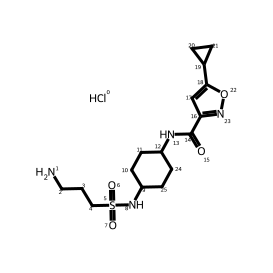 Cl.NCCCS(=O)(=O)NC1CCC(NC(=O)c2cc(C3CC3)on2)CC1